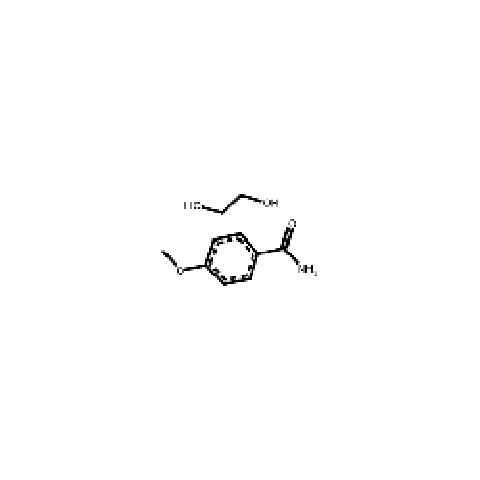 COc1ccc(C(N)=O)cc1.OCCO